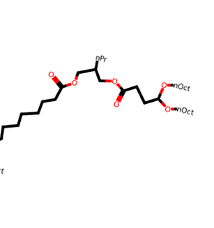 CCCCCCCC/C=C\CCCCCCCC(=O)OCC(CCC)COC(=O)CCC(OCCCCCCCC)OCCCCCCCC